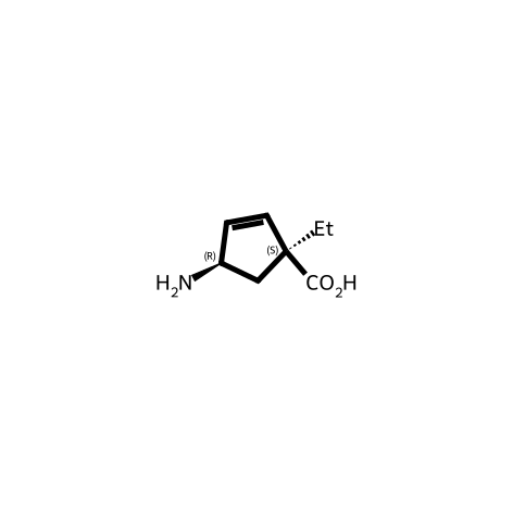 CC[C@@]1(C(=O)O)C=C[C@H](N)C1